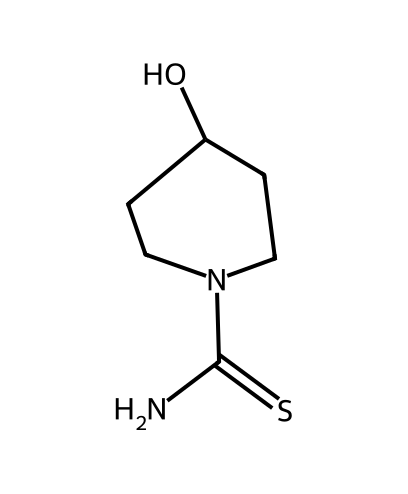 NC(=S)N1CCC(O)CC1